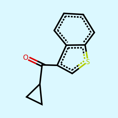 O=C(c1csc2ccccc12)C1CC1